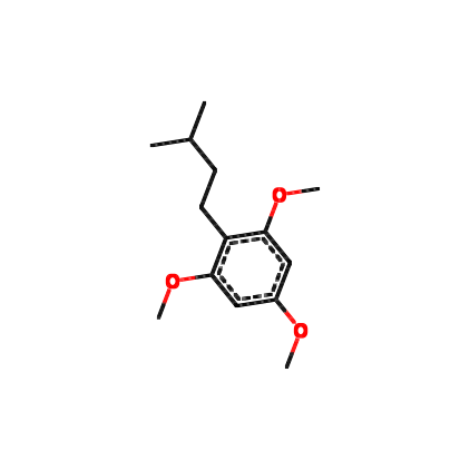 COc1cc(OC)c(CCC(C)C)c(OC)c1